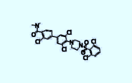 CN(C)C(=O)c1ccc(-c2cc(Cl)c(N3CCN(S(=O)(=O)c4c(Cl)cccc4Cl)CC3)c(Cl)c2)cc1Cl